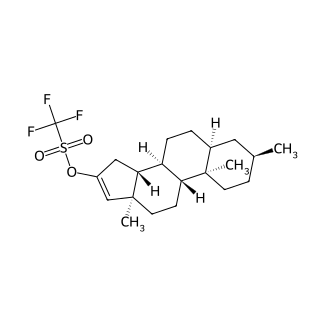 C[C@H]1CC[C@]2(C)[C@@H](CC[C@H]3[C@H]2CC[C@@]2(C)C=C(OS(=O)(=O)C(F)(F)F)C[C@H]32)C1